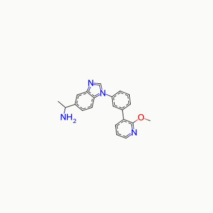 COc1ncccc1-c1cccc(-n2cnc3cc(C(C)N)ccc32)c1